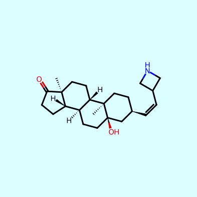 C[C@]12CC[C@H]3[C@@H](CC[C@@]4(O)C[C@H](/C=C\C5CNC5)CC[C@]34C)[C@@H]1CCC2=O